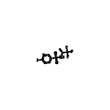 C[C@H](NS(=O)(=O)c1ccc(I)nc1)C(F)(F)F